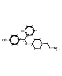 NCCN1CCC(OC(c2ccc(Cl)cc2)c2ccccn2)CC1